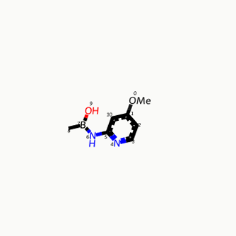 COc1ccnc(NB(C)O)c1